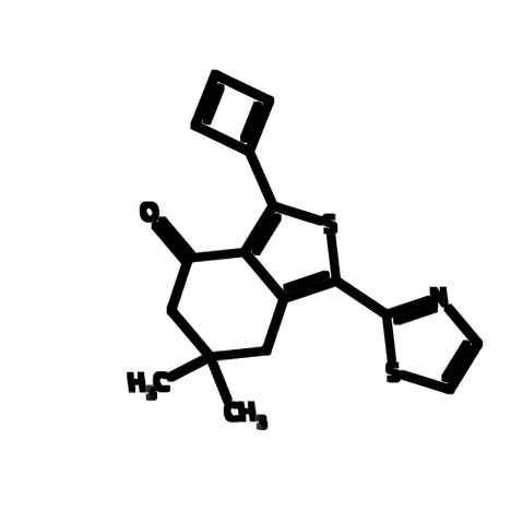 CC1(C)CC(=O)c2c(C3=CC=C3)sc(-c3nccs3)c2C1